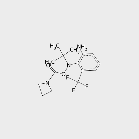 CC(C)(C)N(OC(=O)N1CCC1)c1c(N)cccc1C(F)(F)F